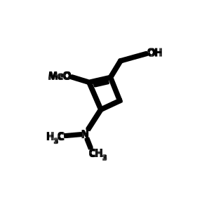 COC1=C(CO)CC1N(C)C